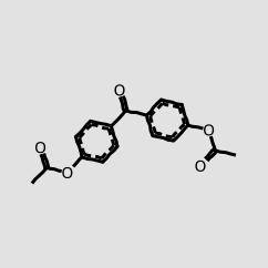 CC(=O)Oc1ccc(C(=O)c2ccc(OC(C)=O)cc2)cc1